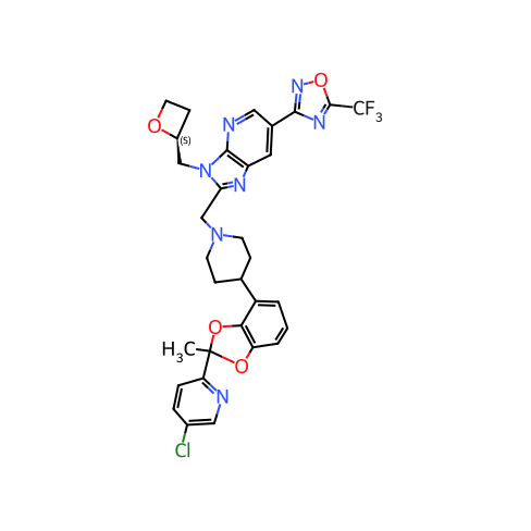 CC1(c2ccc(Cl)cn2)Oc2cccc(C3CCN(Cc4nc5cc(-c6noc(C(F)(F)F)n6)cnc5n4C[C@@H]4CCO4)CC3)c2O1